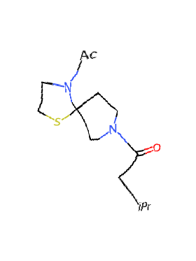 CC(=O)N1CCSC12CCN(C(=O)CC(C)C)C2